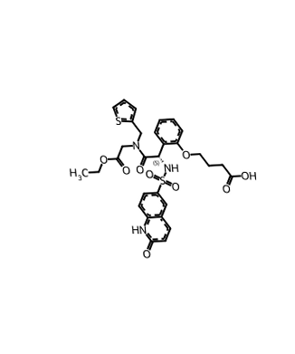 CCOC(=O)CN(Cc1cccs1)C(=O)[C@@H](NS(=O)(=O)c1ccc2[nH]c(=O)ccc2c1)c1ccccc1OCCCC(=O)O